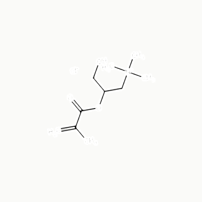 C=C(C)C(=O)OC(CO)C[N+](C)(C)C.[Cl-]